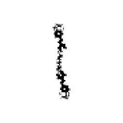 C=CC(/C=C/c1ccc2c(c1)OCCO2)=C\C=N\CCSSCC[n+]1ccc(/C=C/c2ccc3c(c2)OCCO3)cc1